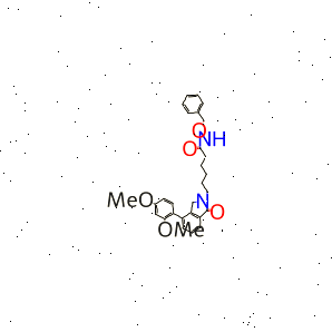 COc1ccc(-c2cccc3c2CN(CCCCCC(=O)NOCc2ccccc2)C3=O)c(OC)c1